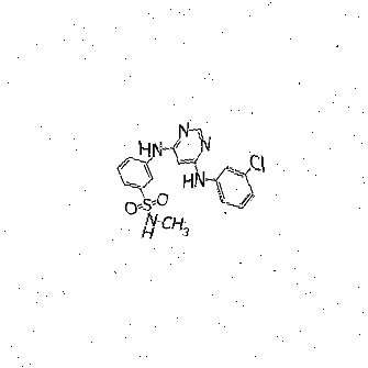 CNS(=O)(=O)c1cccc(Nc2cc(Nc3cccc(Cl)c3)ncn2)c1